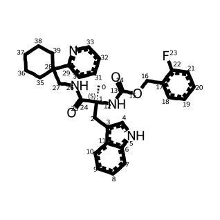 C[C@@](Cc1c[nH]c2ccccc12)(NC(=O)OCc1ccccc1F)C(=O)NCC1(c2ccccn2)CCCCC1